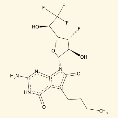 CCCCn1c(=O)n([C@@H]2O[C@H]([C@@H](O)C(F)(F)F)[C@H](F)[C@H]2O)c2nc(N)[nH]c(=O)c21